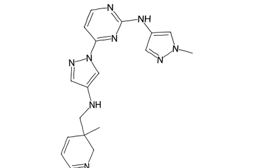 Cn1cc(Nc2nccc(-n3cc(NCC4(C)C=CC=NC4)cn3)n2)cn1